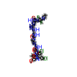 COc1ccc(C2=N[C@@H](c3ccc(Cl)cc3)[C@@H](c3ccc(Cl)cc3)N2C(=O)N2CCN(CC(=O)NCCN3CC[C@@]4(CCN(CC(=O)NCCCNc5cc(N6CCC7(CC6)CN(c6cc(F)c(CN8CCC(C)(C)CC8)cc6F)CC(=O)N7)ncn5)C4)C3)C(=O)C2)c(OC(C)C)c1